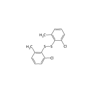 Cc1cccc(Cl)c1SSc1c(C)cccc1Cl